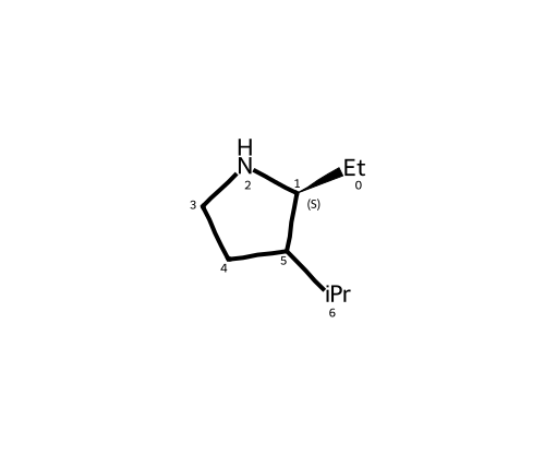 CC[C@@H]1NCCC1C(C)C